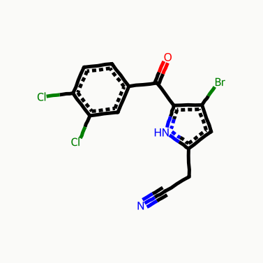 N#CCc1cc(Br)c(C(=O)c2ccc(Cl)c(Cl)c2)[nH]1